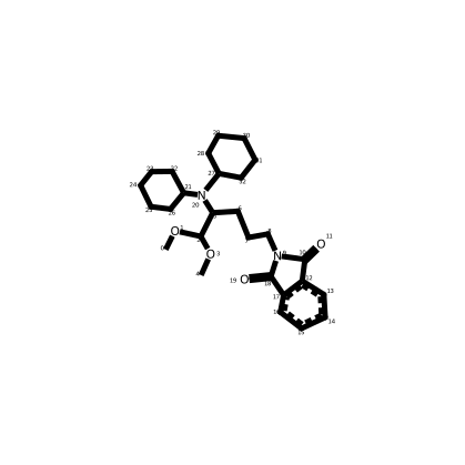 COC(OC)C(CCCN1C(=O)c2ccccc2C1=O)N(C1CCCCC1)C1CCCCC1